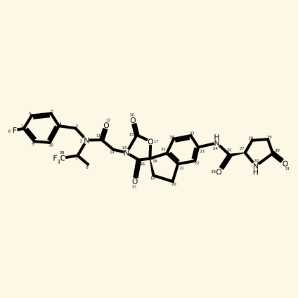 CC(N(Cc1ccc(F)cc1)C(=O)CN1C(=O)O[C@@]2(CCc3cc(NC(=O)[C@H]4CCC(=O)N4)ccc32)C1=O)C(F)(F)F